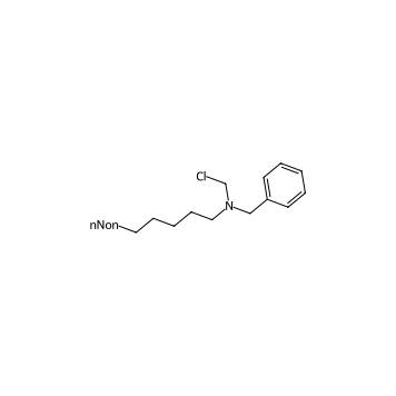 CCCCCCCCCCCCCCN(CCl)Cc1ccccc1